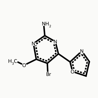 COc1nc(N)nc(-c2ncco2)c1Br